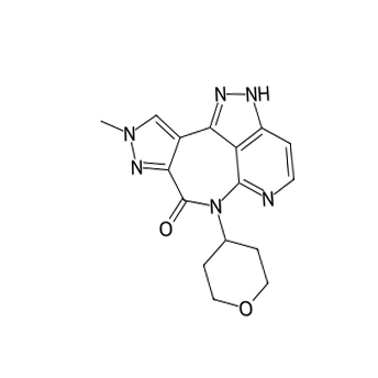 Cn1cc2c(n1)C(=O)N(C1CCOCC1)c1nccc3[nH]nc-2c13